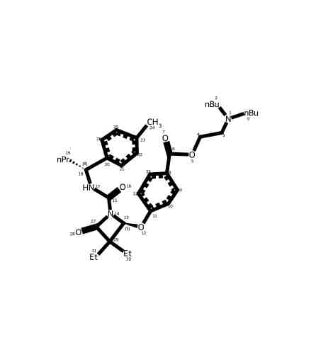 CCCCN(CCCC)CCOC(=O)c1ccc(O[C@@H]2N(C(=O)N[C@H](CCC)c3ccc(C)cc3)C(=O)C2(CC)CC)cc1